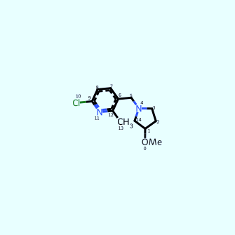 COC1CCN(Cc2ccc(Cl)nc2C)C1